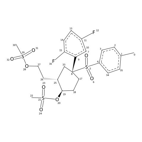 Cc1ccc(S(=O)(=O)[C@]2(c3cc(F)ccc3F)CC[C@@H](OS(C)(=O)=O)[C@H](CCOS(C)(=O)=O)C2)cc1